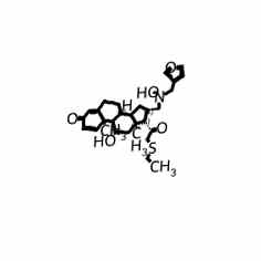 CCSCC(=O)[C@H]1[C@H](CN(O)Cc2ccoc2)CC2[C@@H]3CCC4=CC(=O)C=CC4(C)C3[C@@H](O)C[C@@]21C